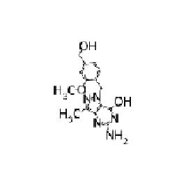 COc1cc(CO)ccc1Cn1nc(C)c2nc(N)nc(O)c21